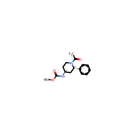 CC(C)(C)OC(=O)N[C@H]1CCN(C(=O)C(F)(F)F)[C@H](c2ccccc2)C1